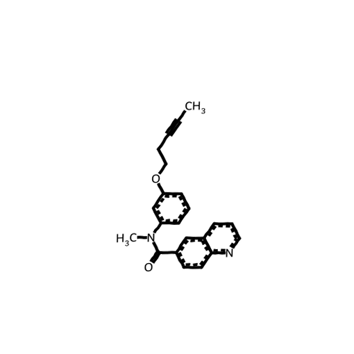 CC#CCCOc1cccc(N(C)C(=O)c2ccc3ncccc3c2)c1